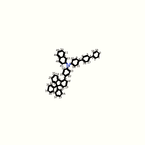 c1ccc(-c2ccc(-c3ccc(N(c4ccc(-c5cccc6c5-c5ccccc5C6(c5ccccc5)c5ccccc5)cc4)c4ccc5ccccc5c4)cc3)cc2)cc1